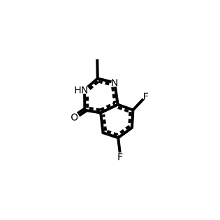 Cc1nc2c(F)cc(F)cc2c(=O)[nH]1